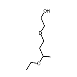 CCOC(C)CCOCCO